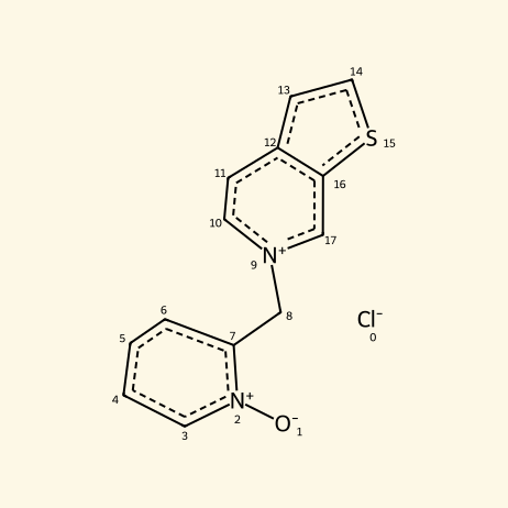 [Cl-].[O-][n+]1ccccc1C[n+]1ccc2ccsc2c1